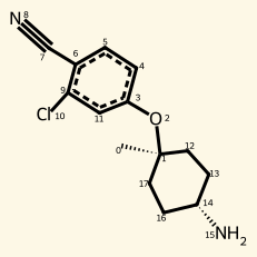 C[C@]1(Oc2ccc(C#N)c(Cl)c2)CC[C@H](N)CC1